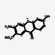 CCOC(=O)c1cc2c(=O)c3ccc(C(C)C)cc3oc2nc1N